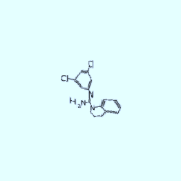 NC(=Nc1cc(Cl)cc(Cl)c1)N1CCCc2ccccc21